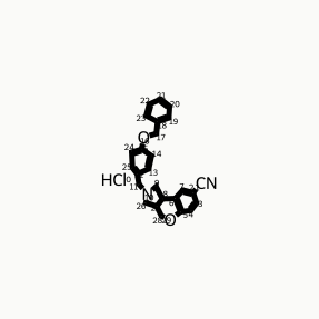 Cl.N#Cc1ccc2c(c1)C1CN(Cc3ccc(OCc4ccccc4)cc3)CC1CO2